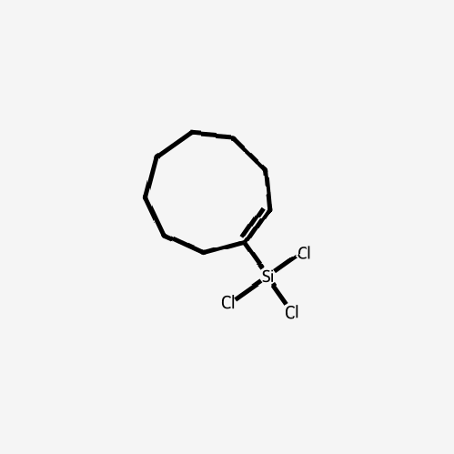 Cl[Si](Cl)(Cl)C1=CCCCCCCC1